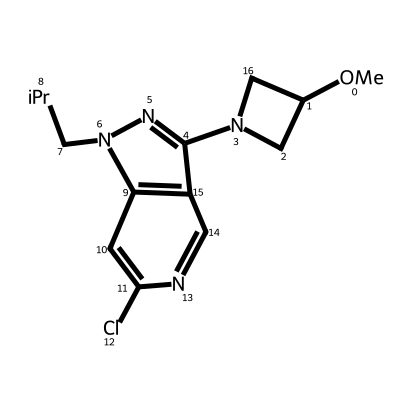 COC1CN(c2nn(CC(C)C)c3cc(Cl)ncc23)C1